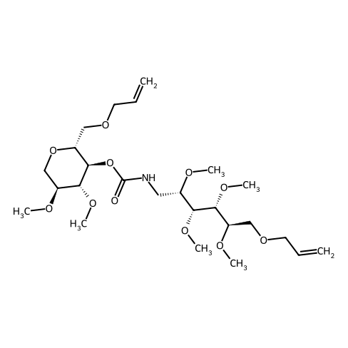 C=CCOC[C@@H](OC)[C@@H](OC)[C@H](OC)[C@H](CNC(=O)O[C@H]1[C@H](OC)[C@@H](OC)CO[C@@H]1COCC=C)OC